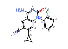 N#Cc1cc2c(N)nc(=O)n(-c3ccccc3Cl)c2cc1C1CC1